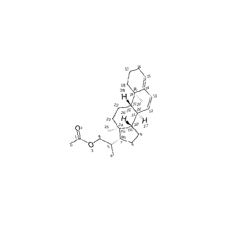 CC(=O)OCC(C)[C@H]1CC[C@H]2[C@@H]3C=CC4=CCCC[C@]4(C)[C@H]3CC[C@]12C